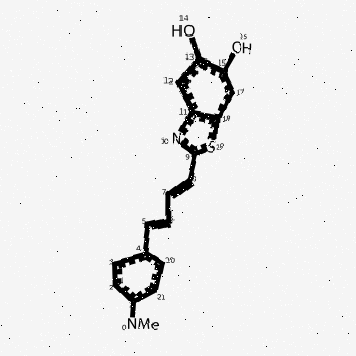 CNc1ccc(/C=C/C=C/c2nc3cc(O)c(O)cc3s2)cc1